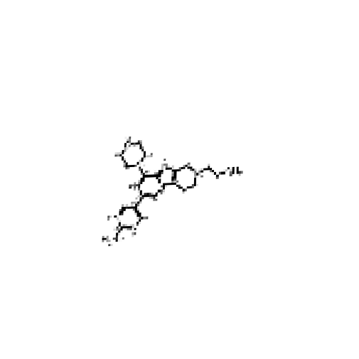 NCCN1CCc2c(nc3c(N4CCOCC4)nc(-c4cnc(N)nc4)cn23)C1